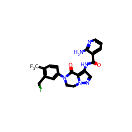 Nc1ncccc1C(=O)Nc1cnn2c1C(=O)N(c1ccc(C(F)(F)F)c(CF)c1)CC2